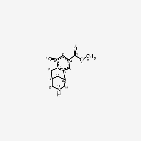 COC(=O)c1cc2n(c(=O)c1)CC1CNCC2C1